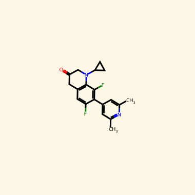 Cc1cc(-c2c(F)cc3c(c2F)N(C2CC2)CC(=O)C3)cc(C)n1